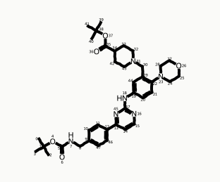 CC(C)(C)OC(=O)NCc1ccc(-c2ccnc(Nc3ccc(N4CCOCC4)c(CN4CCC(C(=O)OC(C)(C)C)CC4)c3)n2)cc1